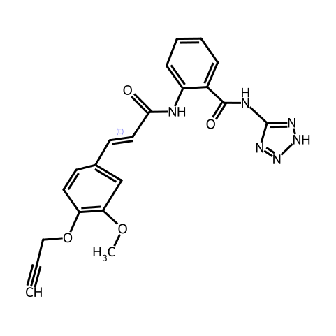 C#CCOc1ccc(/C=C/C(=O)Nc2ccccc2C(=O)Nc2nn[nH]n2)cc1OC